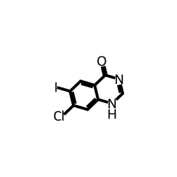 O=c1nc[nH]c2cc(Cl)c(I)cc12